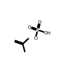 C=C(C)C.O=S(=O)(O)Cl